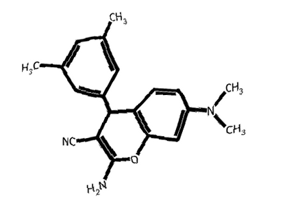 Cc1cc(C)cc(C2C(C#N)=C(N)Oc3cc(N(C)C)ccc32)c1